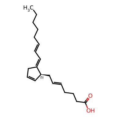 CCCCCC=CC=C1CC=C[C@@H]1CC=CCCCC(=O)O